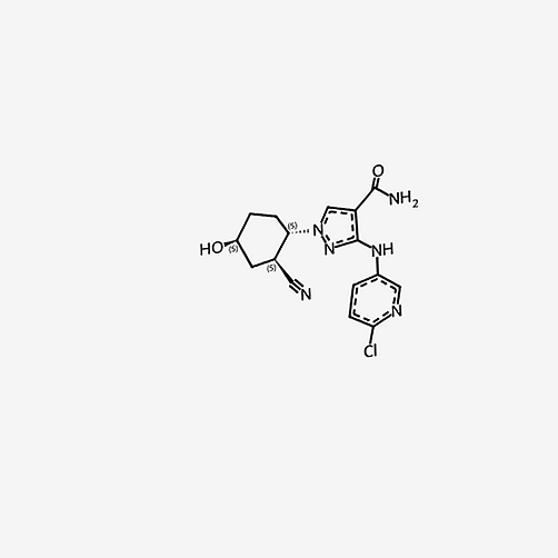 N#C[C@H]1C[C@@H](O)CC[C@@H]1n1cc(C(N)=O)c(Nc2ccc(Cl)nc2)n1